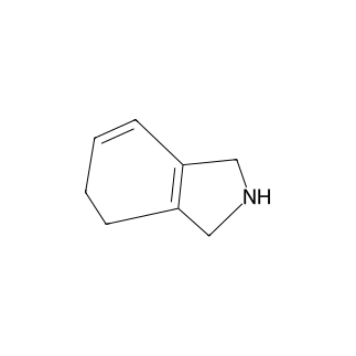 C1=CC2=C(CC1)CNC2